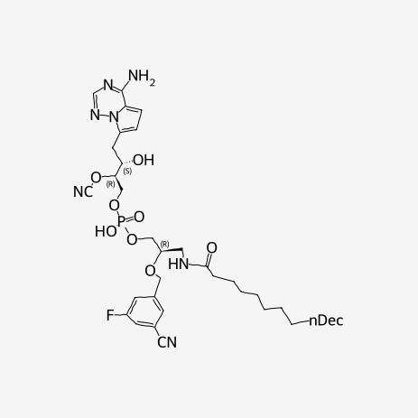 CCCCCCCCCCCCCCCCCC(=O)NC[C@H](COP(=O)(O)OC[C@@H](OC#N)[C@@H](O)Cc1ccc2c(N)ncnn12)OCc1cc(F)cc(C#N)c1